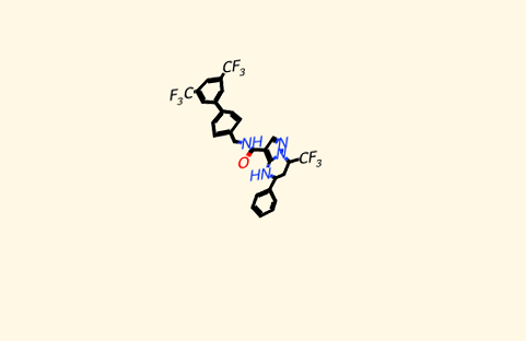 O=C(NCc1ccc(-c2cc(C(F)(F)F)cc(C(F)(F)F)c2)cc1)c1cnn2c1NC(c1ccccc1)CC2C(F)(F)F